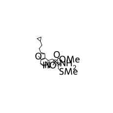 COC(=O)[C@@](O)(Cc1nccc2oc(CCC3CC3)cc12)[C@@H](N)CSC